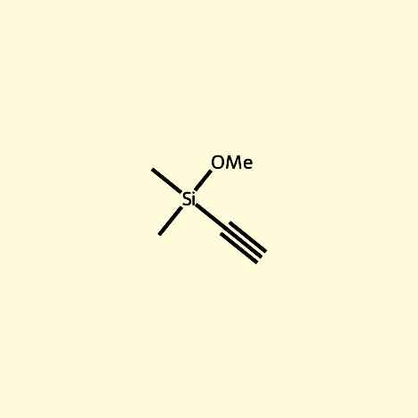 C#C[Si](C)(C)OC